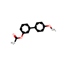 COc1ccc(-c2cccc(OC(C)=O)c2)cc1